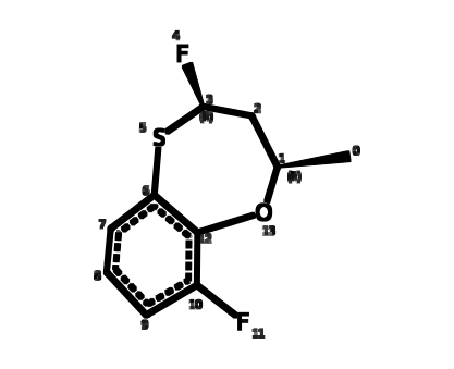 C[C@@H]1C[C@H](F)Sc2cccc(F)c2O1